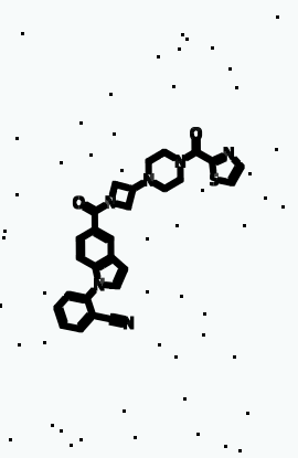 N#Cc1ccccc1-n1ccc2cc(C(=O)N3CC(N4CCN(C(=O)c5nccs5)CC4)C3)ccc21